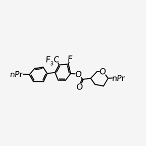 CCCc1ccc(-c2ccc(OC(=O)C3CCC(CCC)OC3)c(F)c2C(F)(F)F)cc1